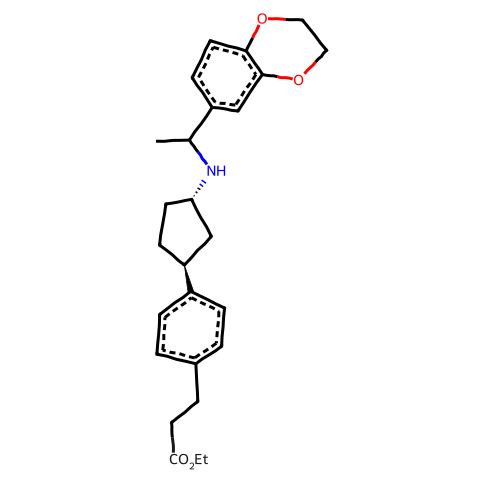 CCOC(=O)CCc1ccc([C@H]2CC[C@H](NC(C)c3ccc4c(c3)OCCO4)C2)cc1